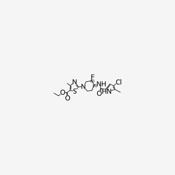 CCOC(=O)c1sc(N2CC[C@@H](NC(=O)c3cc(Cl)c(C)[nH]3)[C@@H](F)C2)nc1C